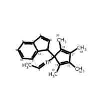 C[CH]=[Ti][C]1(C2C=Cc3ccccc32)C(C)=C(C)C(C)=C1C